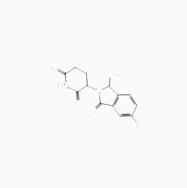 O=C1CCC(N2C(=O)c3cc(F)ccc3C2O)C(=O)N1